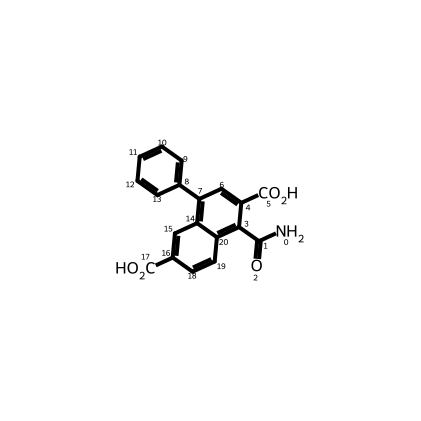 NC(=O)c1c(C(=O)O)cc(-c2ccccc2)c2cc(C(=O)O)ccc12